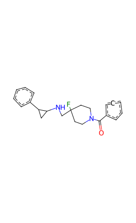 O=C(c1ccccc1)N1CCC(F)(CNC2CC2c2ccccc2)CC1